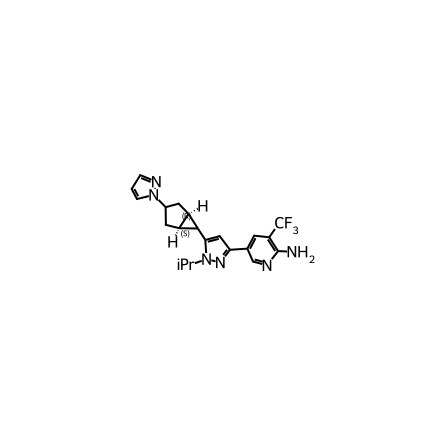 CC(C)n1nc(-c2cnc(N)c(C(F)(F)F)c2)cc1C1[C@H]2CC(n3cccn3)C[C@@H]12